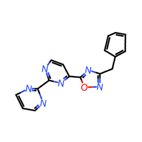 c1ccc(Cc2noc(-c3ccnc(-c4ncccn4)n3)n2)cc1